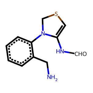 NCc1ccccc1N1CSC=C1NC=O